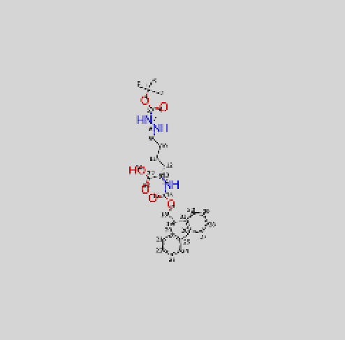 CC(C)(C)OC(=O)NNCCCC[C@H](NC(=O)OCC1c2ccccc2-c2ccccc21)C(=O)O